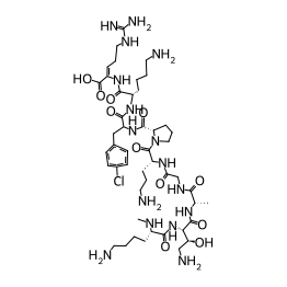 CN[C@@H](CCCCN)C(=O)N[C@H](C(=O)N[C@@H](C)C(=O)NCC(=O)N[C@H](CCCN)C(=O)N1CCC[C@H]1C(=O)NC(Cc1ccc(Cl)cc1)C(=O)N[C@@H](CCCCN)C(=O)N/C(=C\CCNC(=N)N)C(=O)O)[C@@H](O)CN